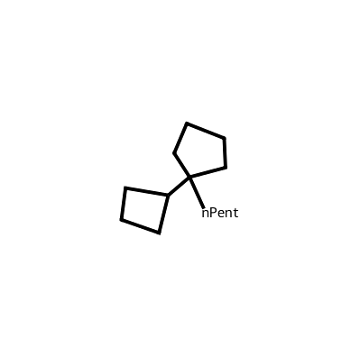 CCCCCC1(C2CCC2)CCCC1